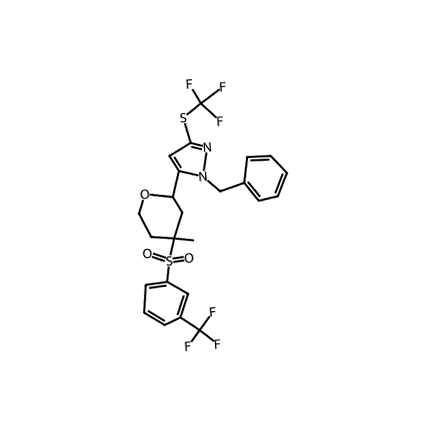 CC1(S(=O)(=O)c2cccc(C(F)(F)F)c2)CCOC(c2cc(SC(F)(F)F)nn2Cc2ccccc2)C1